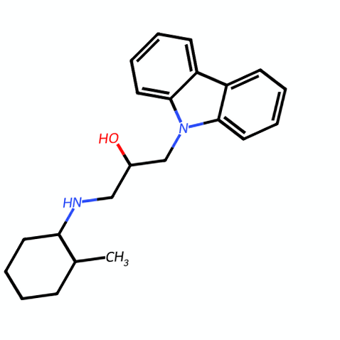 CC1CCCCC1NCC(O)Cn1c2ccccc2c2ccccc21